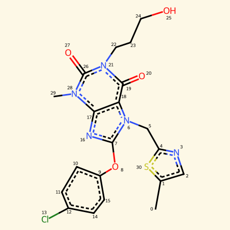 Cc1cnc(Cn2c(Oc3ccc(Cl)cc3)nc3c2c(=O)n(CCCO)c(=O)n3C)s1